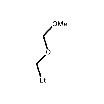 [CH2]CCOCO[CH2]